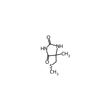 CSCC1(C)NC(=O)NC1=O